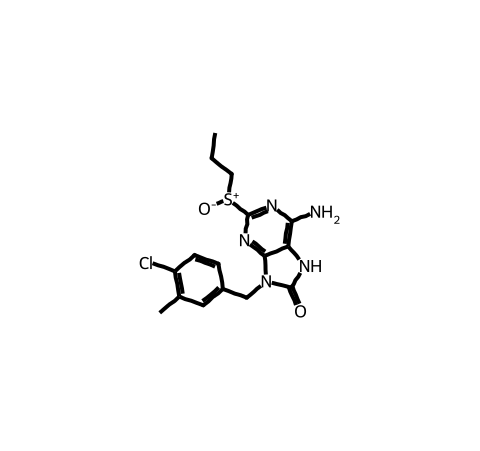 CCC[S+]([O-])c1nc(N)c2[nH]c(=O)n(Cc3ccc(Cl)c(C)c3)c2n1